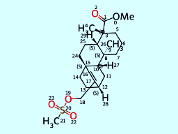 COC(=O)[C@]1(C)CCC[C@@]2(C)[C@@H]3C[C@@H]4CC[C@]3(C=C4COS(C)(=O)=O)CC[C@@H]21